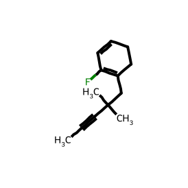 CC#CC(C)(C)CC1=C(F)C=CCC1